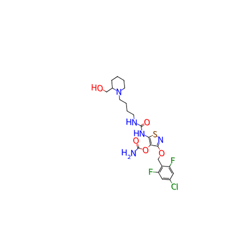 NC(=O)Oc1c(OCc2c(F)cc(Cl)cc2F)nsc1NC(=O)NCCCCN1CCCCC1CO